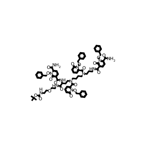 CC(C)(C)OC(=O)NCCOCCNC(=O)C(CCN(CCCCN(CCCNC(=O)c1ccc(C(N)=O)n(OCc2ccccc2)c1=O)C(=O)c1cccc(=O)n1OCc1ccccc1)C(=O)c1cccc(=O)n1OCc1ccccc1)NC(=O)c1ccc(C(N)=O)n(OCc2ccccc2)c1=O